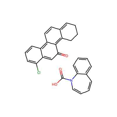 O=C(O)N1C=CC=Cc2ccccc21.O=C1C=c2c(Cl)cccc2=c2ccc3c(c21)CCCC=3